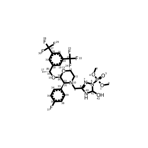 COP(=O)(OC)N1N=C(CN2CCO[C@H](O[C@H](C)c3cc(C(F)(F)F)cc(C(F)(F)F)c3)[C@@H]2c2ccc(F)cc2)NC1O